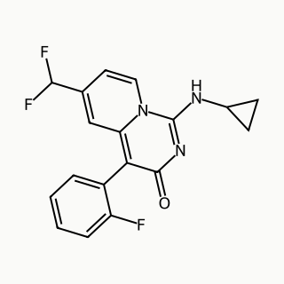 O=c1nc(NC2CC2)n2ccc(C(F)F)cc2c1-c1ccccc1F